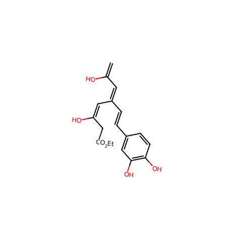 C=C(O)/C=C(/C=C/c1ccc(O)c(O)c1)\C=C(\O)CC(=O)OCC